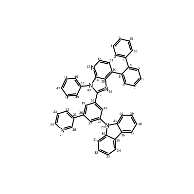 c1ccc(-c2ccccc2-c2ccnc3c2nc(-c2cc(-c4cccnc4)cc(-n4c5ccccc5c5ccccc54)c2)n3-c2ccccc2)cc1